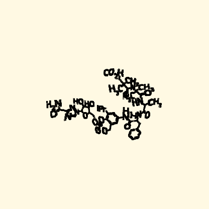 CC(NC(=O)C(C)(C)NC(=O)C(C)(C)CC(=O)O)C(=O)NC(Cc1ccccc1)C(=O)Nc1cc2c(c(C(C)C)c1)OP(=O)(OCC1OC(n3cnc(C(N)=O)n3)C(O)C1O)OC2